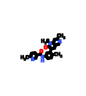 Cc1ccc(C(=O)Nc2ccc(C)c(-c3cc4cnc(C)cc4n(C)c3=O)c2)cn1